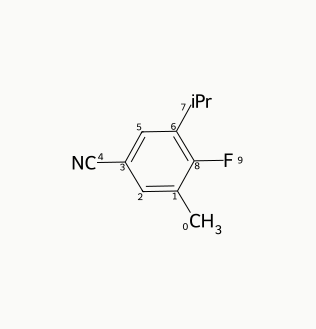 Cc1cc(C#N)cc(C(C)C)c1F